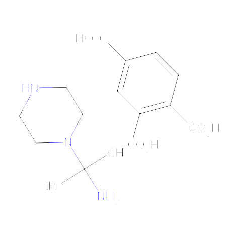 CC(C)C(C)(N)N1CCNCC1.O=C(O)c1ccc(C(=O)O)c(C(=O)O)c1